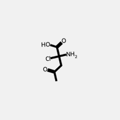 CC(=O)CC(N)(Cl)C(=O)O